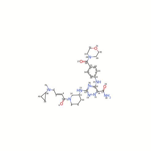 CN(C/C=C/C(=O)N1CCCC(Nc2nnc(C(N)=O)c(Nc3ccc(C(=O)N4CCOCC4)cc3)n2)C1)C1CC1